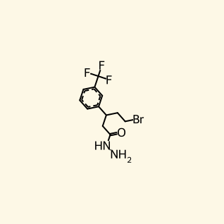 NNC(=O)CC(CCBr)c1cccc(C(F)(F)F)c1